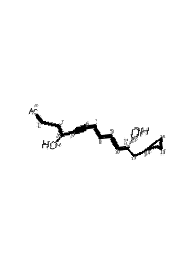 CC(=O)CC[C@H](O)C#C/C=C/C=C/[C@H](O)CC1CC1